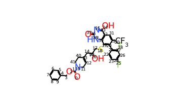 O=C(OCc1ccccc1)N1CC=C(C[C@@H](O)CSc2c(-c3ccc(F)cc3F)c(C(F)(F)F)cc3c(O)nc(=O)[nH]c23)CC1